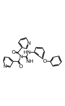 N=C(Nc1cccc(Oc2ccccc2)c1)N(C(=O)c1cccnc1)C(=O)c1cccnc1